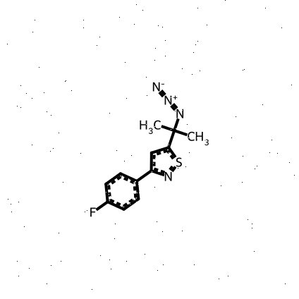 CC(C)(N=[N+]=[N-])c1cc(-c2ccc(F)cc2)ns1